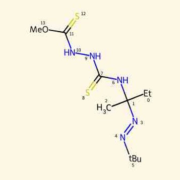 CCC(C)(/N=N/C(C)(C)C)NC(=S)NNC(=S)OC